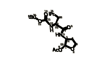 CC(=O)O[C@@H]1OCC[C@@H]1NC(=O)[C@H](CC(C)C)NC(=O)OC(C)(C)C